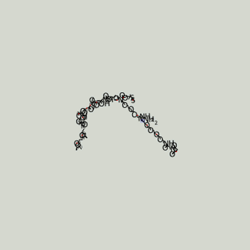 C=C1CO[C@@H](CC[C@@H]2O[C@@H](CC[C@@H]3C[C@@H](OC)[C@@H](C(C)O[C@H]4CC[C@H](CC(=O)C[C@@H]5[C@@H](OC)[C@@H](C[C@H](O)CNC(=O)OCc6ccc(N(CCOCCOCCOCCN(N)/C=C(\N)COCCOCCOCCOCCNC(=O)CCN7C(=O)C=CC7=O)C(=O)OCC(C)(C)SSC)cc6)O[C@H]5C)O[C@@H]4[C@@H](C)O)O3)CC2=C)C[C@H]1C